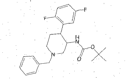 CC(C)(C)OC(=O)NC1CN(Cc2ccccc2)CCC1c1cc(F)ccc1F